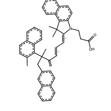 C=C(/C=C/C=C1/N(CCC(=O)O)c2ccc3ccccc3c2C1(C)C)C(C)(Cc1ccc2ccccc2c1)c1c(C)ccc2ccccc12